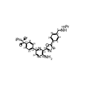 CCCNCc1ccc(-c2nnc(-c3nc(-c4ccc(S(=O)(=O)C(C)C)cc4)cnc3N)o2)cc1